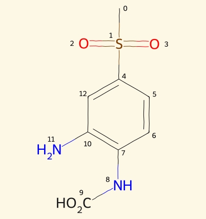 CS(=O)(=O)c1ccc(NC(=O)O)c(N)c1